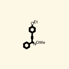 CCOc1ccc(C#CC(=NOC)c2ccccc2)cc1